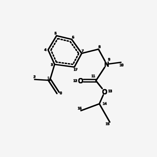 C=C(C)c1cccc(CN(C)C(=O)OC(C)C)c1